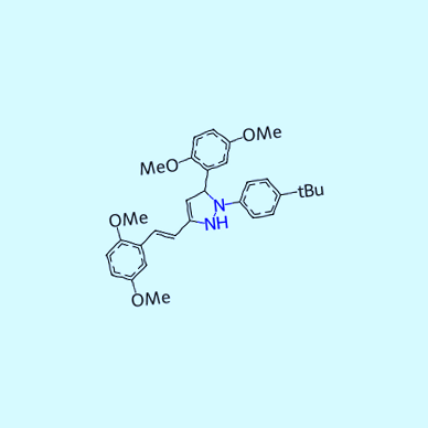 COc1ccc(OC)c(C=CC2=CC(c3cc(OC)ccc3OC)N(c3ccc(C(C)(C)C)cc3)N2)c1